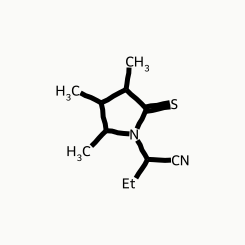 CCC(C#N)N1C(=S)C(C)C(C)C1C